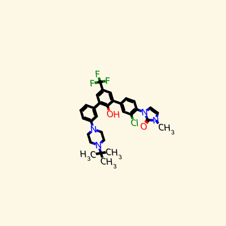 Cn1ccn(-c2ccc(-c3cc(C(F)(F)F)cc(-c4cccc(N5CCN(C(C)(C)C)CC5)c4)c3O)cc2Cl)c1=O